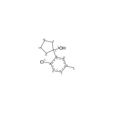 Cc1ccc(Cl)c(C2(O)CCCC2)c1